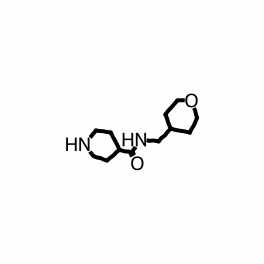 O=C(NCC1CCOCC1)C1CCNCC1